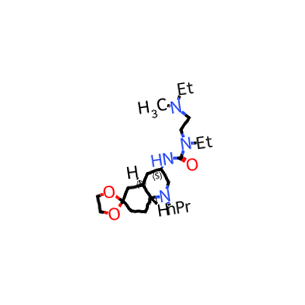 CCCN1C[C@@H](NC(=O)N(CC)CCN(C)CC)C[C@@H]2CC3(CC[C@H]21)OCCO3